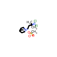 CC(C)(CC[N+]12CCC(CC1)CC2)N(Cl)Cl.CS(=O)(=O)[O-]